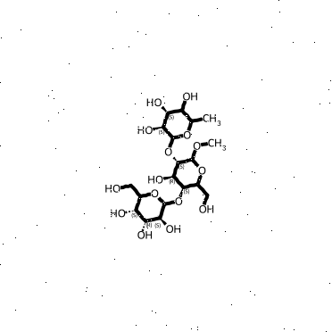 COC1OC(CO)[C@@H](OC2OC(CO)[C@@H](O)[C@@H](O)[C@@H]2O)[C@@H](O)[C@@H]1OC1OC(C)C(O)[C@H](O)[C@@H]1O